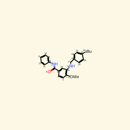 COc1ccc(C(=O)Nc2ccccc2)cc1NCc1ccc(C(C)(C)C)cc1